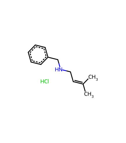 CC(C)=CCNCc1ccccc1.Cl